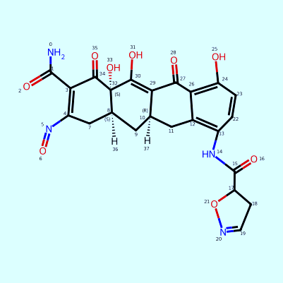 NC(=O)C1=C(N=O)C[C@@H]2C[C@@H]3Cc4c(NC(=O)C5CC=NO5)ccc(O)c4C(=O)C3=C(O)[C@]2(O)C1=O